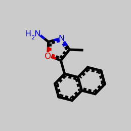 Cc1nc(N)oc1-c1cccc2ccccc12